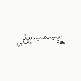 CC(C)(C)OC(=O)COCCOCCOCCOc1c(F)cc(N)cc1F